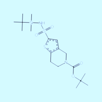 CC(C)(C)OC(=O)N1CCc2sc(S(=O)(=O)N[Si](C)(C)C(C)(C)C)cc2C1